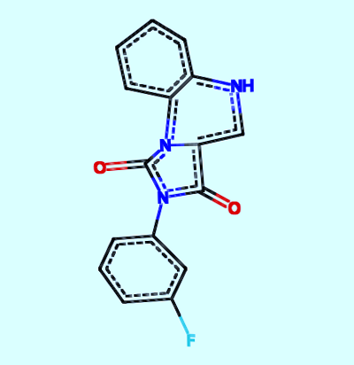 O=c1c2c[nH]c3ccccc3n-2c(=O)n1-c1cccc(F)c1